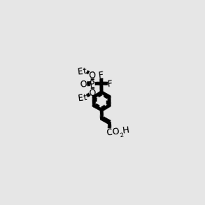 CCOP(=O)(OCC)C(F)(F)c1ccc(C=CC(=O)O)cc1